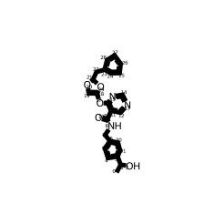 CC(O)c1ccc(CNC(=O)c2cncnc2OC2=COC(Cc3ccccc3)O2)cc1